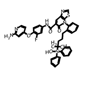 CC(C)(CCCc1ccccc1-n1c(=O)c(C(=O)Nc2ccc(Oc3ccnc(N)c3)c(F)c2)cc2ncsc21)[Si](O)(c1ccccc1)c1ccccc1